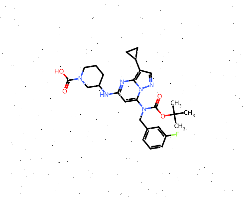 CC(C)(C)OC(=O)N(Cc1cccc(F)c1)c1cc(NC2CCCN(C(=O)O)C2)nc2c(C3CC3)cnn12